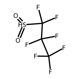 O=[SH](=O)C(F)(F)C(F)(F)C(F)(F)F